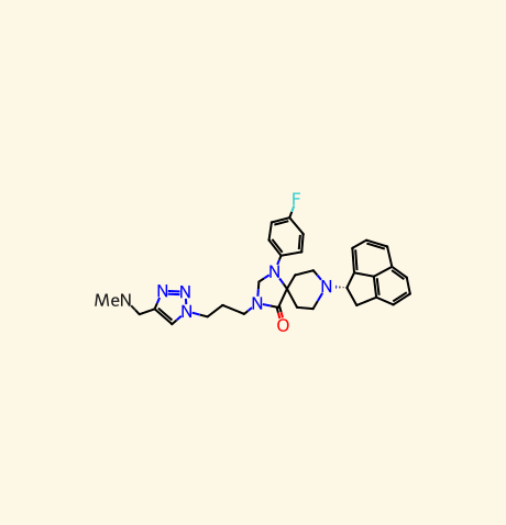 CNCc1cn(CCCN2CN(c3ccc(F)cc3)C3(CCN([C@H]4Cc5cccc6cccc4c56)CC3)C2=O)nn1